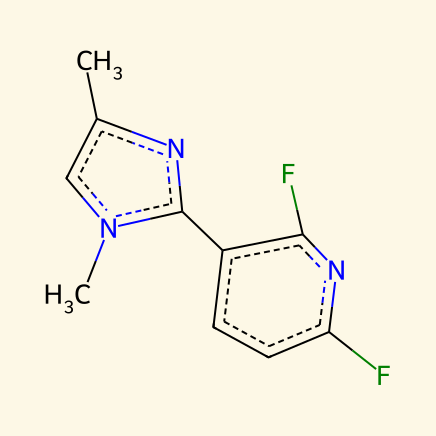 Cc1cn(C)c(-c2ccc(F)nc2F)n1